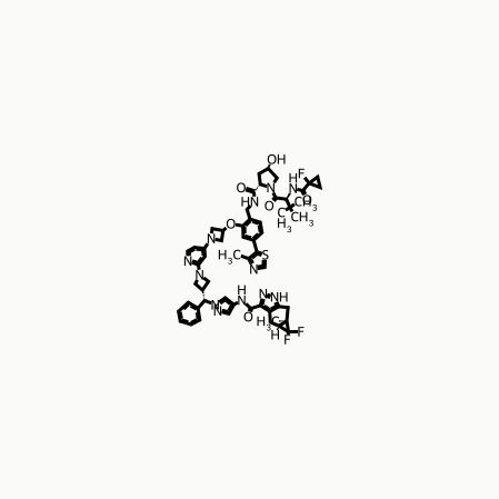 Cc1ncsc1-c1ccc(CNC(=O)[C@@H]2C[C@@H](O)CN2C(=O)[C@@H](NC(=O)C2(F)CC2)C(C)(C)C)c(OC2CN(c3ccnc(N4CC([C@@H](c5ccccc5)n5cc(NC(=O)c6n[nH]c7c6C[C@@H]6C(F)(F)[C@]6(C)C7)cn5)C4)c3)C2)c1